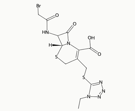 CCn1nnnc1SCC1=C(C(=O)O)N2C(=O)C(NC(=O)CBr)[C@H]2SC1